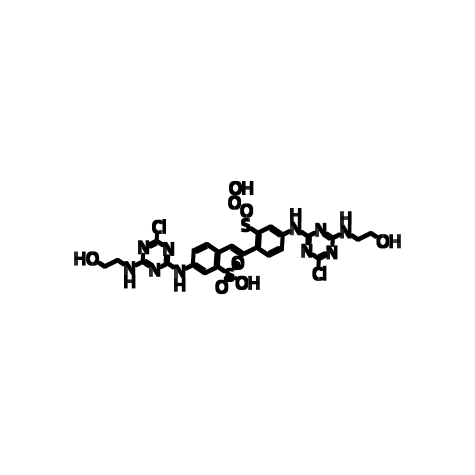 O=S(=O)(O)c1cc(Nc2nc(Cl)nc(NCCO)n2)ccc1/C=C/c1ccc(Nc2nc(Cl)nc(NCCO)n2)cc1SOOO